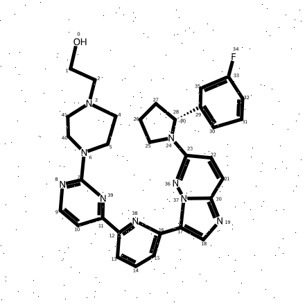 OCCN1CCN(c2nccc(-c3cccc(-c4cnc5ccc(N6CCC[C@@H]6c6cccc(F)c6)nn45)n3)n2)CC1